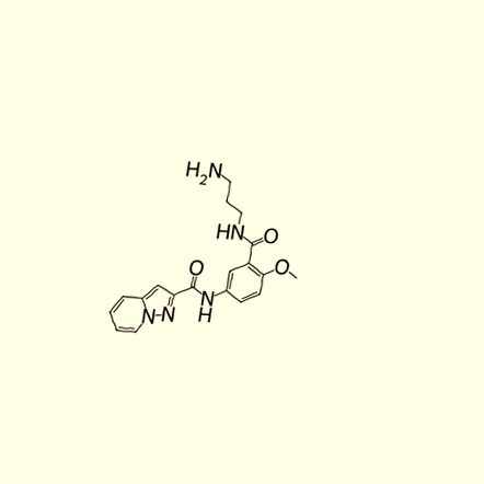 COc1ccc(NC(=O)c2cc3ccccn3n2)cc1C(=O)NCCCN